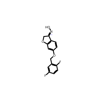 O/N=C1\COc2cc(OCc3cc(F)ccc3F)ccc21